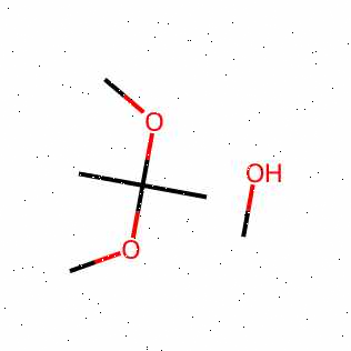 CO.COC(C)(C)OC